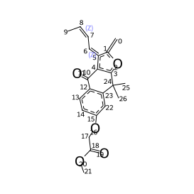 C=c1oc2c(/c1=C/C=C\C)C(=O)c1ccc(OCC(=O)OC)cc1C2(C)C